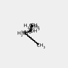 C=C(CCCCCCCCCCCCCCC)NCCOP(O)OCC[N+](C)(C)C